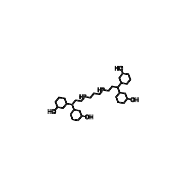 OC1CCCC(C(CCPCCCPCCC(C2CCCC(O)C2)C2CCCC(O)C2)C2CCCC(O)C2)C1